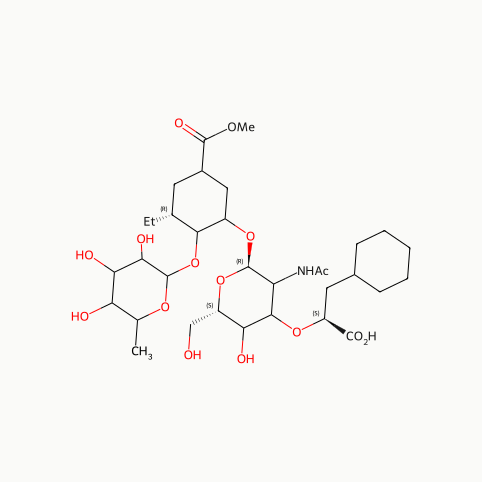 CC[C@@H]1CC(C(=O)OC)CC(O[C@@H]2O[C@@H](CO)C(O)C(O[C@@H](CC3CCCCC3)C(=O)O)C2NC(C)=O)C1OC1OC(C)C(O)C(O)C1O